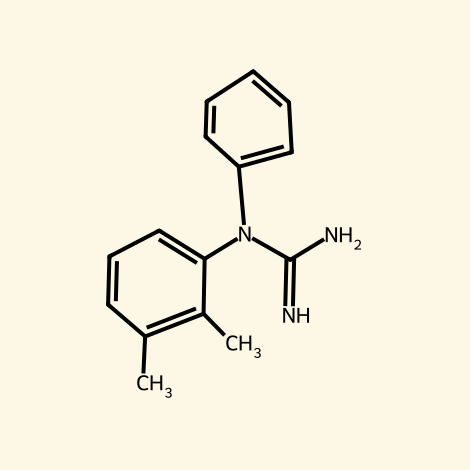 Cc1cccc(N(C(=N)N)c2ccccc2)c1C